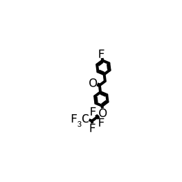 O=C(Cc1ccc(F)cc1)c1ccc(OC(F)(F)C(F)C(F)(F)F)cc1